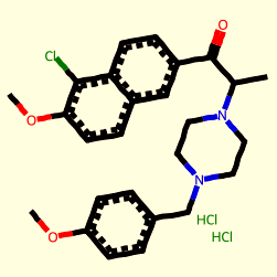 COc1ccc(CN2CCN(C(C)C(=O)c3ccc4c(Cl)c(OC)ccc4c3)CC2)cc1.Cl.Cl